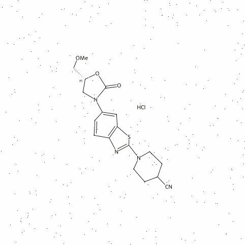 COC[C@H]1CN(c2ccc3nc(N4CCC(C#N)CC4)sc3c2)C(=O)O1.Cl